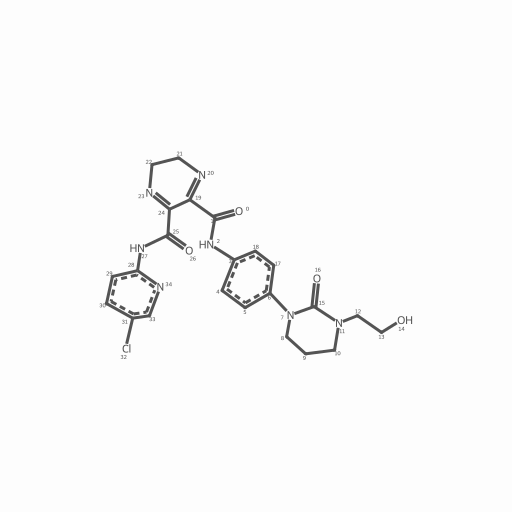 O=C(Nc1ccc(N2CCCN(CCO)C2=O)cc1)C1=NCCN=C1C(=O)Nc1ccc(Cl)cn1